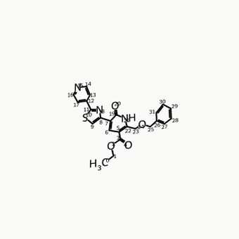 CCOC(=O)c1cc(-c2csc(-c3ccncc3)n2)c(=O)[nH]c1COCc1ccccc1